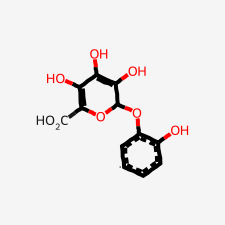 O=C(O)C1=C(O)C(O)=C(O)C(Oc2c[c]ccc2O)O1